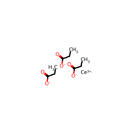 CCC(=O)[O-].CCC(=O)[O-].CCC(=O)[O-].[Ce+3]